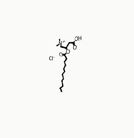 CCCCCCCCCCCC(=O)OC(CC(=O)O)C[N+](C)(C)C.[Cl-]